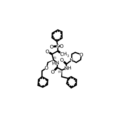 C=C(C(=O)[C@H](COCc1ccccc1)NC(=O)[C@H](Cc1ccccc1)NC(=O)N1CCOCC1)S(=O)(=O)c1ccccc1